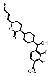 O=C1OC(/C=C/CF)CCC1C1CCC(C(O)c2ccc(C3CO3)c(F)c2F)CC1